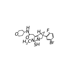 CN1C(CC(=O)NC2CCOCC2)=C2[C@@H]3C[C@]3(c3cc(Br)ccc3F)CN2C1S